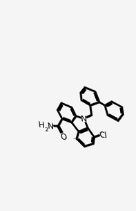 NC(=O)c1cccc2c1c1[c]ccc(Cl)c1n2Cc1ccccc1-c1ccccc1